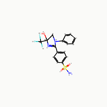 NS(=O)(=O)c1ccc(C2=NC(O)(C(F)(F)F)CN2c2ccccc2)cc1